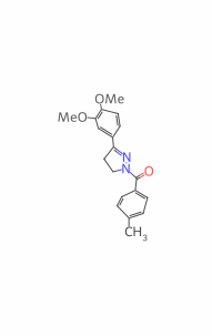 COc1ccc(C2=NN(C(=O)c3ccc(C)cc3)CC2)cc1OC